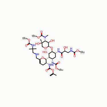 C=C(C)OC(=O)N[C@@H]1CC=C(CNCC(C)(C)NC(=O)OC(C)(C)C)O[C@@H]1C1[C@@H](NC(=O)OC(C)(C)C)C[C@@H](NC(=O)[C@@H](O)CNC(=O)OC(C)(C)C)[C@H](O[C@H]2OC[C@](C)(O)[C@H](N(C)C(=O)OC(C)(C)C)[C@H]2O)[C@H]1O